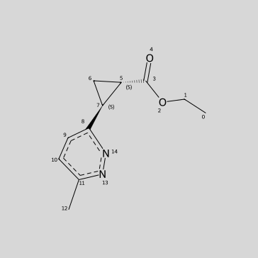 CCOC(=O)[C@H]1C[C@@H]1c1ccc(C)nn1